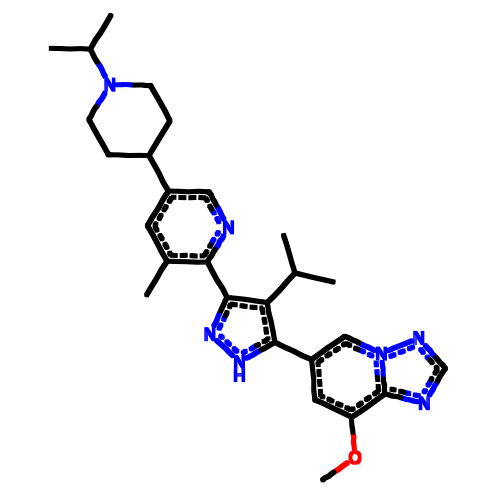 COc1cc(-c2[nH]nc(-c3ncc(C4CCN(C(C)C)CC4)cc3C)c2C(C)C)cn2ncnc12